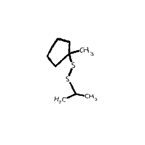 CC(C)SSC1(C)CCCC1